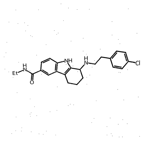 CCNC(=O)c1ccc2[nH]c3c(c2c1)CCCC3NCCc1ccc(Cl)cc1